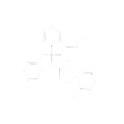 CCC(=O)OC(Cc1ccccc1)(c1ccccc1)C(C)CNC.O=C(O)/C=C\C(=O)O